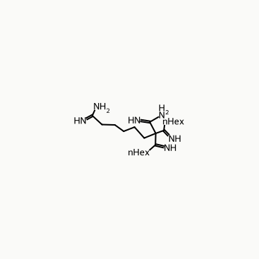 CCCCCCC(=N)C(CCCCCC(=N)N)(C(=N)N)C(=N)CCCCCC